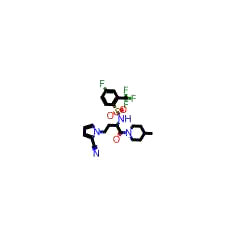 CC1CCN(C(=O)C(CCn2cccc2C#N)NS(=O)(=O)c2ccc(F)cc2C(F)(F)F)CC1